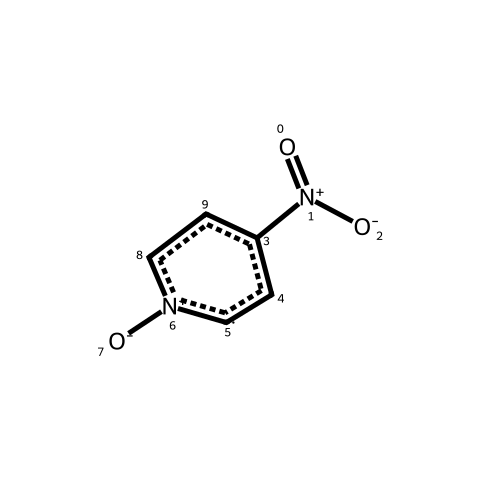 O=[N+]([O-])c1c[c][n+]([O-])cc1